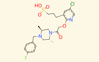 C[C@@H]1CN(Cc2ccc(F)cc2)[C@@H](C)CN1C(=O)COc1ncc(Cl)cc1CCCS(=O)(=O)O